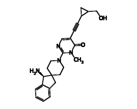 Cn1c(N2CCC3(CC2)Cc2ccccc2[C@H]3N)ncc(C#CC2CC2CO)c1=O